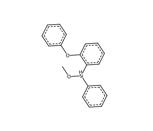 CO[SiH](c1ccccc1)c1ccccc1Oc1ccccc1